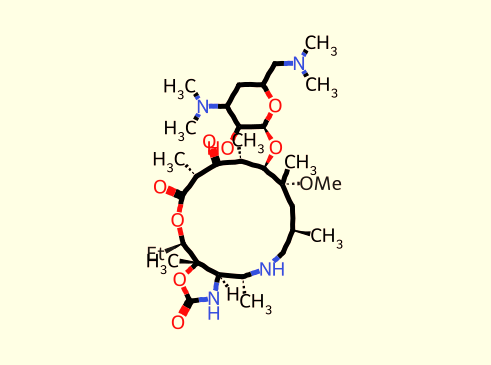 CC[C@H]1OC(=O)[C@H](C)C(=O)[C@H](C)[C@@H](O[C@@H]2OC(CN(C)C)CC(N(C)C)C2O)[C@](C)(OC)C[C@@H](C)CN[C@H](C)[C@H]2NC(=O)O[C@@]21C